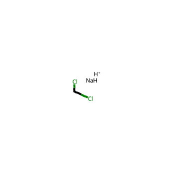 ClCCl.[H+].[NaH]